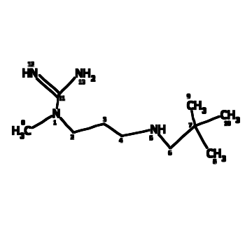 CN(CCCNCC(C)(C)C)C(=N)N